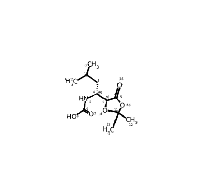 CC(C)C[C@@H](NC(=O)O)[C@@H]1OC(C)(C)OC1=O